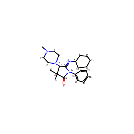 CN1CCN(C2C(=NC3CCCCC3)N(c3ccccc3)C(=O)C2(C)C)CC1